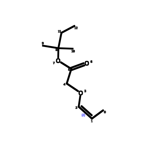 C/C=C\OCC(=O)OC(C)(C)CC